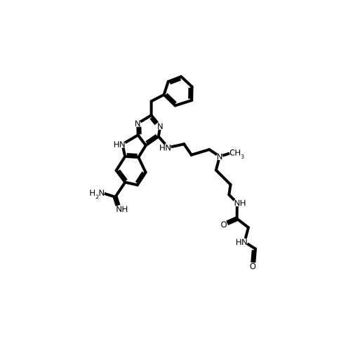 CN(CCCNC(=O)CNC=O)CCCNc1nc(Cc2ccccc2)nc2[nH]c3cc(C(=N)N)ccc3c12